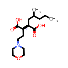 CCCC(C)C/C(C(=O)O)=C(/CCN1CCOCC1)C(=O)O